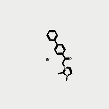 Cc1n(C)cc[n+]1CC(=O)c1ccc(-c2ccccc2)cc1.[Br-]